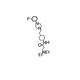 CCN(CC)CCC(=O)NC1CCC(CCN2CCN(c3cccc(F)c3)CC2)CC1